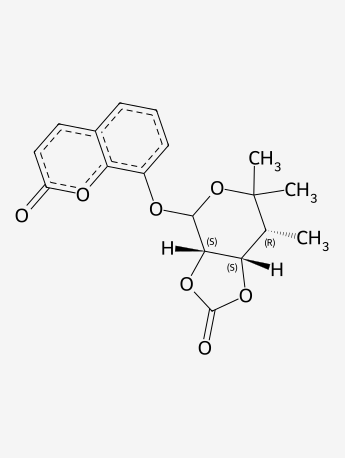 C[C@@H]1[C@@H]2OC(=O)O[C@@H]2C(Oc2cccc3ccc(=O)oc23)OC1(C)C